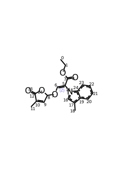 CCOC(=O)/C(=C/OC1C=C(C)C(=O)O1)n1cc(C)c2ccccc21